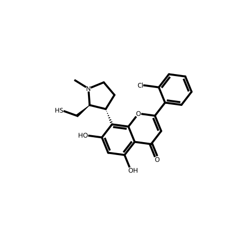 CN1CC[C@H](c2c(O)cc(O)c3c(=O)cc(-c4ccccc4Cl)oc23)[C@H]1CS